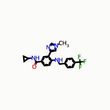 Cn1cnc(-c2cc(C(=O)NC3CC3)ccc2NCc2ccc(C(F)(F)F)cc2)c1